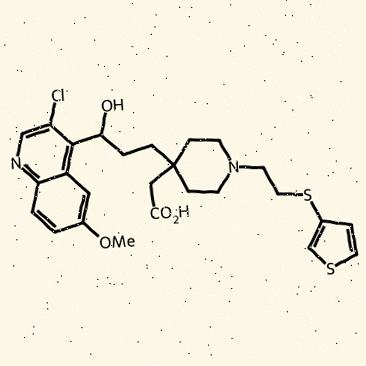 COc1ccc2ncc(Cl)c(C(O)CCC3(CC(=O)O)CCN(CCSc4ccsc4)CC3)c2c1